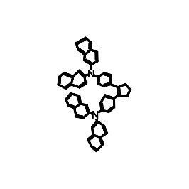 c1ccc2cc(N(c3ccc(C4=C(c5ccc(N(c6ccc7ccccc7c6)c6ccc7ccccc7c6)cc5)CCC4)cc3)c3ccc4ccccc4c3)ccc2c1